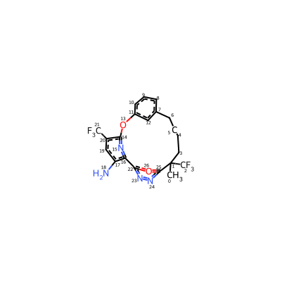 CC1(C(F)(F)F)CCCCc2cccc(c2)Oc2nc(c(N)cc2C(F)(F)F)-c2nnc1o2